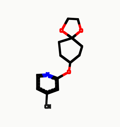 N#Cc1ccnc(OC2CCC3(CC2)OCCO3)c1